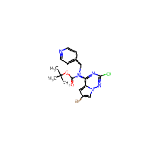 CC(C)(C)OC(=O)N(Cc1ccncc1)c1nc(Cl)nn2cc(Br)cc12